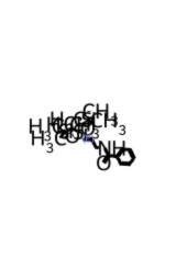 C[Si](C)(C)O[Si](C)(/C=C/CNC(=O)c1ccccc1)O[Si](C)(C)C